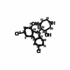 COc1cc(Cl)cc2c3cc(Cl)ccc3n([C@H]3CCCNC[C@@H]3O)c12